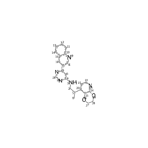 CC(CNc1cc(-c2cnc3ccccc3c2)ncn1)c1ccnc2c1OCCO2